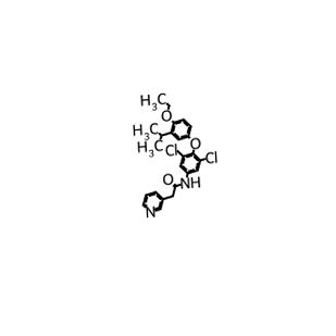 CCOc1ccc(Oc2c(Cl)cc(NC(=O)Cc3cccnc3)cc2Cl)cc1C(C)C